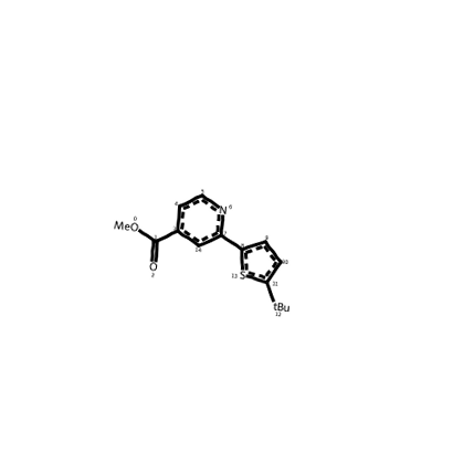 COC(=O)c1ccnc(-c2ccc(C(C)(C)C)s2)c1